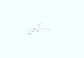 CC(C)(C)c1ccc(N(Cc2ccc(C(=O)NCCC(=O)O)cc2)C(=O)Nc2ccc3c(c2)C(=O)N(CC2CC2)C3=O)cc1